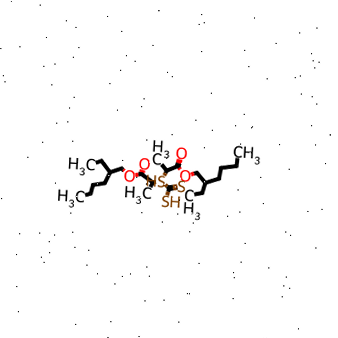 CCCCC(CC)COC(=O)C(C)[SH](C(=S)S)C(C)C(=O)OCC(CC)CCCC